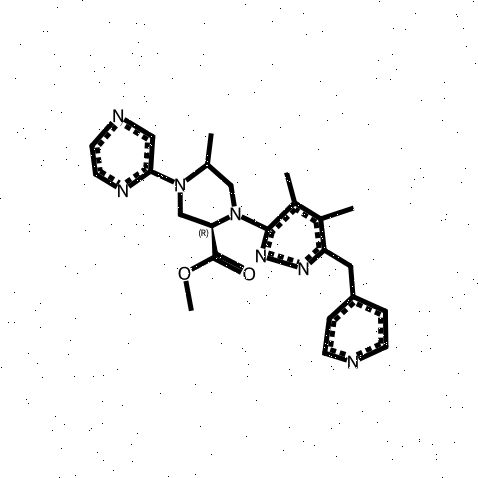 COC(=O)[C@H]1CN(c2cnccn2)C(C)CN1c1nnc(Cc2ccncc2)c(C)c1C